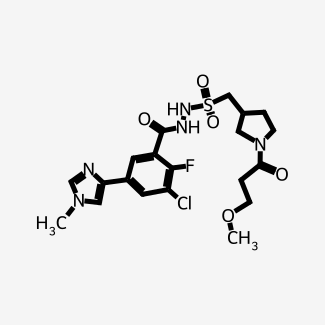 COCCC(=O)N1CCC(CS(=O)(=O)NNC(=O)c2cc(-c3cn(C)cn3)cc(Cl)c2F)C1